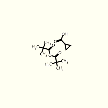 CC(C)(C)C(=O)OC(=O)C(C)(C)C.O=C(O)C1CC1